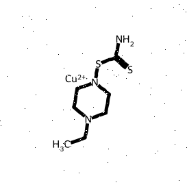 CCN1CCN(SC(N)=S)CC1.[Cu+2]